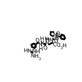 N=C(N)Nc1cccc(C(=O)NNC(=O)NC[C@H](NC(=O)[C@@H]2CCCN2S(=O)(=O)c2ccccc2)C(=O)O)c1